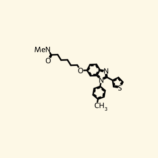 CNC(=O)CCCCCOc1ccc2nc(-c3ccsc3)n(-c3ccc(C)cc3)c2c1